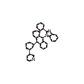 c1ccc(-c2nc3ccccc3n2-c2c3ccccc3c(-c3cccc(-c4cccnc4)c3)c3ccccc23)cc1